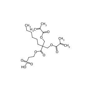 C=C(C)C(=O)OCC(CCCCCC)(COC(=O)C(=C)C)C(=O)OCCS(=O)(=O)O